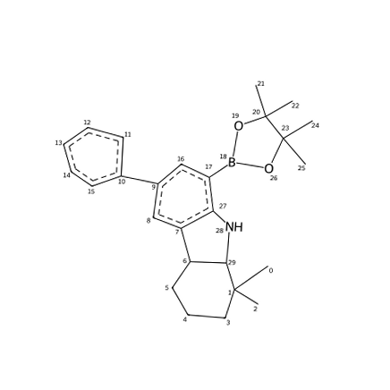 CC1(C)CCCC2c3cc(-c4ccccc4)cc(B4OC(C)(C)C(C)(C)O4)c3NC21